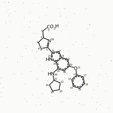 O=C(O)CC1CSC(c2cc3cc(Oc4ccccc4)cc(NC4CCCC4)c3[nH]2)=N1